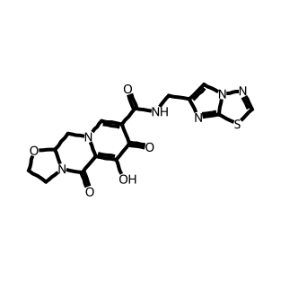 O=C(NCc1cn2ncsc2n1)c1cn2c(c(O)c1=O)C(=O)N1CCOC1C2